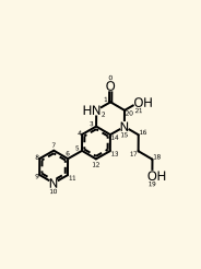 O=C1Nc2cc(-c3cccnc3)ccc2N(CCCO)C1O